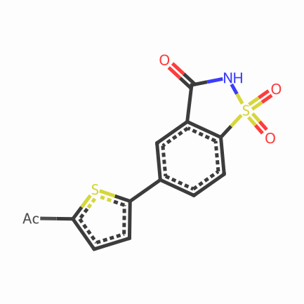 CC(=O)c1ccc(-c2ccc3c(c2)C(=O)NS3(=O)=O)s1